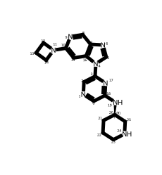 c1ncc(-n2cnc3cnc(N4CCC4)cc32)nc1N[C@@H]1CCCNC1